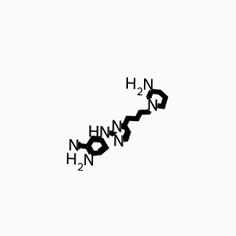 N#Cc1cc(Nc2nccc(CCCCN3CCCC(N)C3)n2)ccc1N